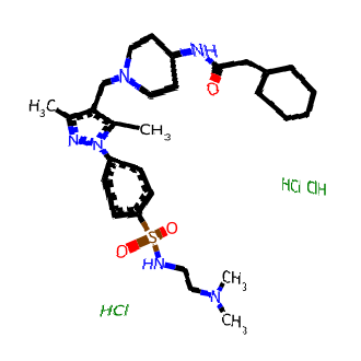 Cc1nn(-c2ccc(S(=O)(=O)NCCN(C)C)cc2)c(C)c1CN1CCC(NC(=O)CC2CCCCC2)CC1.Cl.Cl.Cl